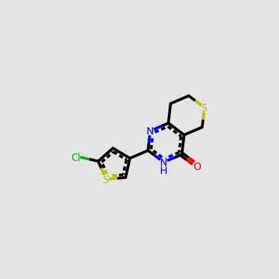 O=c1[nH]c(-c2csc(Cl)c2)nc2c1CSCC2